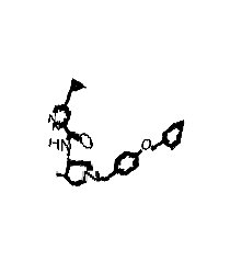 C[C@@H]1CN(Cc2ccc(OCc3ccccc3)cc2)C[C@@H]1NC(=O)c1cc(C2CC2)cnn1